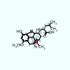 COc1cc(O)c2c3c1C[C@@H]1[C@@H]4CC[C@H](N[C@@H](CC(C)C)C(=O)O)[C@H](O2)[C@]34CCN1C